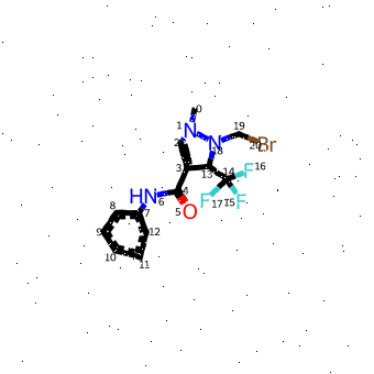 CN1C=C(C(=O)Nc2ccccc2)C(C(F)(F)F)N1CBr